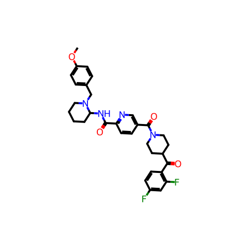 COc1ccc(CN2CCCCC2NC(=O)c2ccc(C(=O)N3CCC(C(=O)c4ccc(F)cc4F)CC3)cn2)cc1